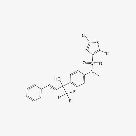 CN(c1ccc(C(O)(/C=C/c2ccccc2)C(F)(F)F)cc1)S(=O)(=O)c1cc(Cl)sc1Cl